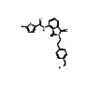 N#CCc1ccc(CCN2C(=O)c3cccc(NC(=O)c4ccc(Cl)s4)c3C2=O)cc1